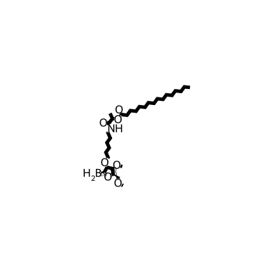 B[C@@H]1O[C@H](COC)[C@H](OC)C1OCCCCCCNC(=O)C(C)OC(=O)CCCCCCCCCCCCCCC